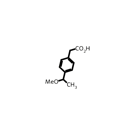 COC(C)c1ccc(CC(=O)O)cc1